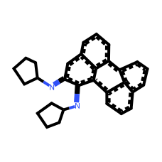 c1cc2cccc3c4c(=NC5CCCC5)c(=NC5CCCC5)cc5cccc(c(c1)c23)c54